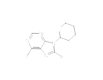 Clc1ncnc2c1nc(Br)n2C1CCCCO1